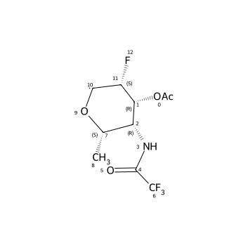 CC(=O)O[C@@H]1[C@H](NC(=O)C(F)(F)F)[C@H](C)O[CH][C@@H]1F